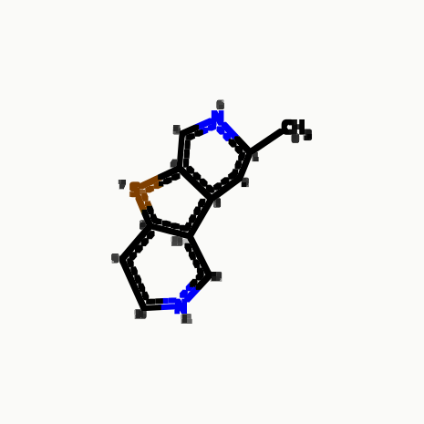 Cc1cc2c(cn1)sc1ccncc12